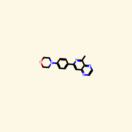 Cc1nc(-c2ccc(N3CCOCC3)cc2)cc2nccnc12